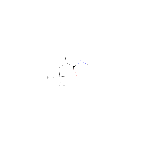 CCC(C)(C)CC(C(=O)NC(C)C)C(C)C